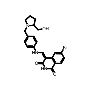 O=C1NC(=O)c2ccc(Br)cc2C1=CNc1ccc(CN2CCCC2CO)cc1